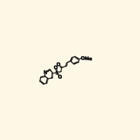 COc1ccc(C=CC(=O)CS(=O)(=O)c2cnc3ccccc3c2)cc1